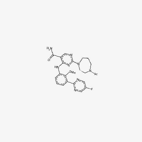 COc1c(Nc2nc(N3CCCN(C(C)=O)CC3)ncc2C(N)=O)cccc1-c1ncc(F)cn1